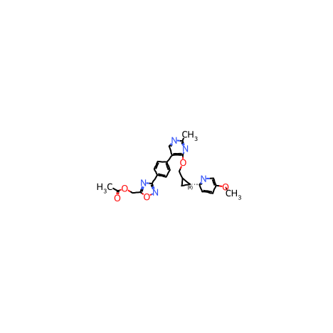 COc1ccc([C@@H]2CC2COc2nc(C)ncc2-c2ccc(-c3noc(COC(C)=O)n3)cc2)nc1